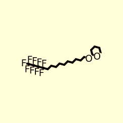 FC(F)(F)C(F)(F)C(F)(F)C(F)(F)CCCCCCCCCCOC1CCCCO1